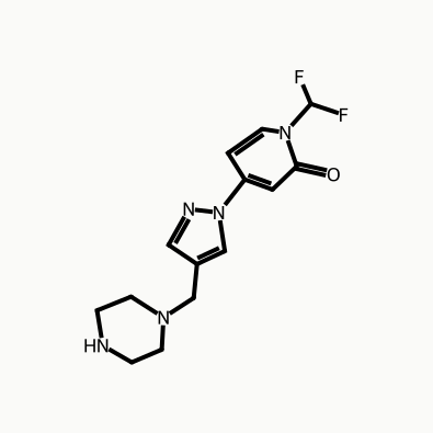 O=c1cc(-n2cc(CN3CCNCC3)cn2)ccn1C(F)F